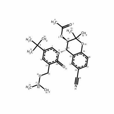 CC(=O)O[C@@H]1[C@@H](n2cc(C(C)(C)C)cc(CO[SiH](C)C)c2=O)c2cc(C#N)ccc2OC1(C)C